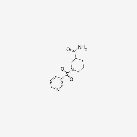 NC(=O)C1CCCN(S(=O)(=O)c2cccnc2)C1